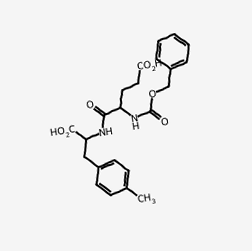 Cc1ccc(CC(NC(=O)C(CCC(=O)O)NC(=O)OCc2ccccc2)C(=O)O)cc1